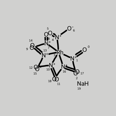 O=[N+]([O-])[Rh]([N+](=O)[O-])([N+](=O)[O-])([N+](=O)[O-])([N+](=O)[O-])[N+](=O)[O-].[NaH]